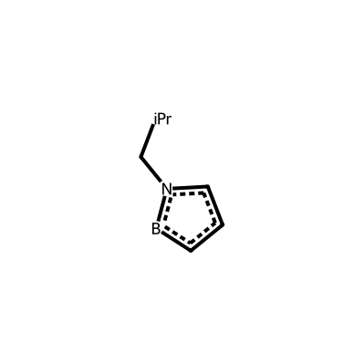 CC(C)Cn1bccc1